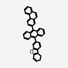 C1=Cc2oc3cc(-c4c5ccccc5c(-c5ccc6c(ccc7ccccc76)c5)c5ccccc45)ccc3c2CC1